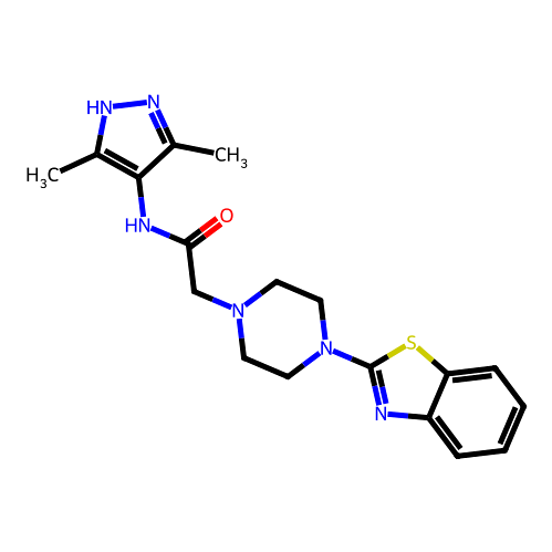 Cc1n[nH]c(C)c1NC(=O)CN1CCN(c2nc3ccccc3s2)CC1